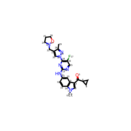 CCn1cc(C(=O)C2CC2)c2cc(Nc3ncc(F)c(-n4cc(CN5CCCO5)c(C)n4)n3)ccc21